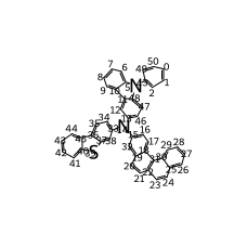 c1ccc(-n2c3ccccc3c3cc(N(c4ccc5c(ccc6ccc7ccccc7c65)c4)c4ccc5c(c4)sc4ccccc45)ccc32)cc1